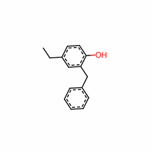 CCc1ccc(O)c(Cc2ccccc2)c1